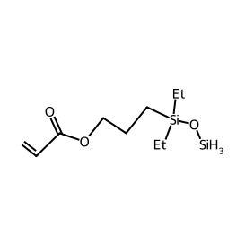 C=CC(=O)OCCC[Si](CC)(CC)O[SiH3]